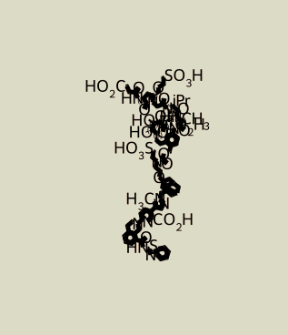 Cc1c(-c2ccc(N3CCc4cccc(C(=O)Nc5nc6ccccc6s5)c4C3)nc2C(=O)O)cnn1CC12CC3CC(C1)CC(OCCN(CCS(=O)(=O)O)C(=O)OCc1ccc(NC(=O)[C@H](C)NC(=O)[C@@H](NC(=O)CN4C(=O)[C@@H](NC(=O)CCC(=O)O)C[C@H]4COCCS(=O)(=O)O)C(C)C)cc1CC[C@@H]1O[C@H](C(=O)O)[C@@H](O)[C@H](O)[C@H]1O)(C3)C2